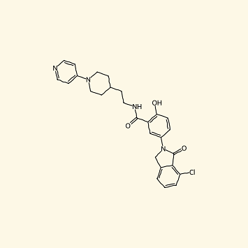 O=C(NCCC1CCN(c2ccncc2)CC1)c1cc(N2Cc3cccc(Cl)c3C2=O)ccc1O